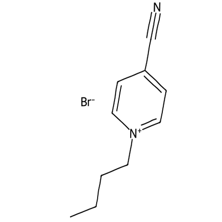 CCCC[n+]1ccc(C#N)cc1.[Br-]